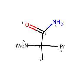 CNC(C)(C(N)=O)C(C)C